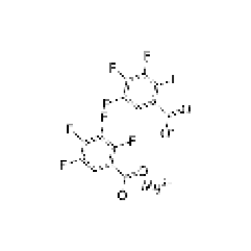 O=C([O-])c1cc(F)c(F)c(F)c1F.O=C([O-])c1cc(F)c(F)c(F)c1F.[Mg+2]